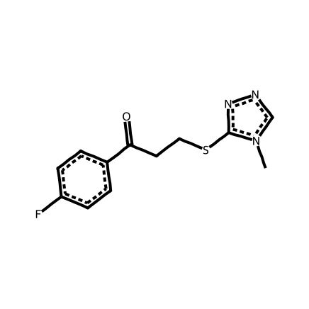 Cn1cnnc1SCCC(=O)c1ccc(F)cc1